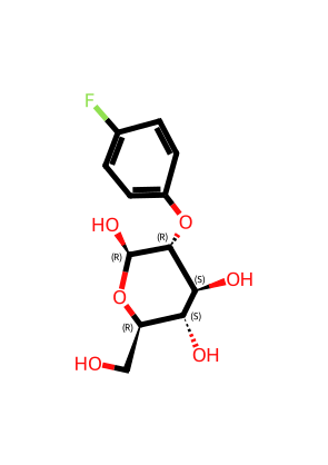 OC[C@H]1O[C@@H](O)[C@H](Oc2ccc(F)cc2)[C@@H](O)[C@@H]1O